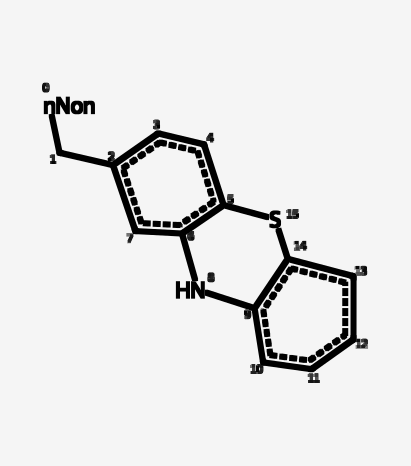 CCCCCCCCCCc1ccc2c(c1)Nc1ccccc1S2